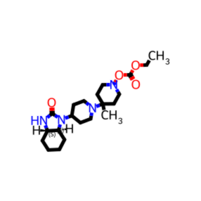 CCOC(=O)ON1CCC(C)(N2CCC(N3C(=O)N[C@H]4CCCC[C@@H]43)CC2)CC1